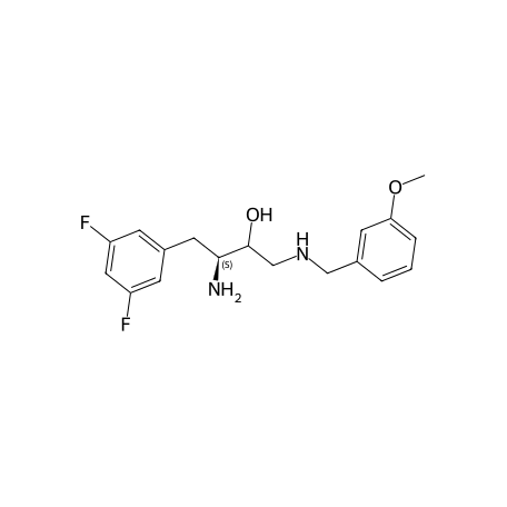 COc1cccc(CNCC(O)[C@@H](N)Cc2cc(F)cc(F)c2)c1